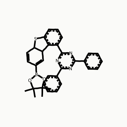 CC1(C)OB(C2=CC3c4c(cccc4-c4nc(-c5ccccc5)nc(-c5ccccc5)n4)SC3C=C2)OC1(C)C